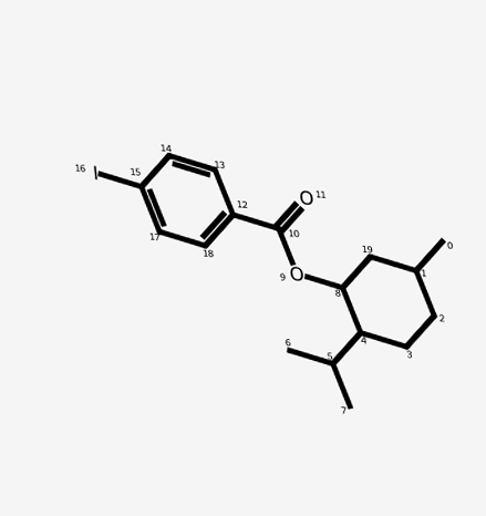 CC1CCC(C(C)C)C(OC(=O)c2ccc(I)cc2)C1